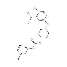 Cc1cnc(N[C@H]2CC[C@@H](NC(=O)Nc3cccc(Cl)c3)CC2)nc1N(C)C